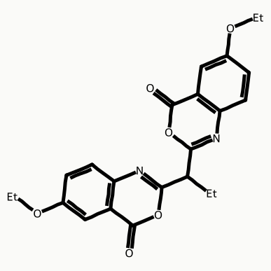 CCOc1ccc2nc(C(CC)c3nc4ccc(OCC)cc4c(=O)o3)oc(=O)c2c1